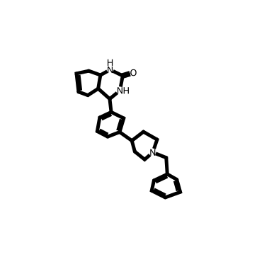 O=C1NC2CC=CCC2C(c2cccc(C3CCN(Cc4ccccc4)CC3)c2)N1